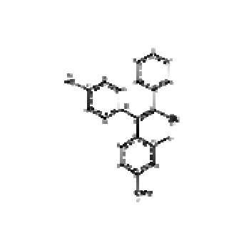 COc1ccc(/C(=C(/c2ccccc2)C(C)(C)C)c2ccc(O)cc2)c(C)c1